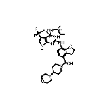 CC[C@H](C)N[C@]1(C)NC(Nc2ccc(C(O)N3CCC(N4CCOCC4)CC3)c3c2OCC3)=Nc2[nH]cc(C(F)(F)F)c21